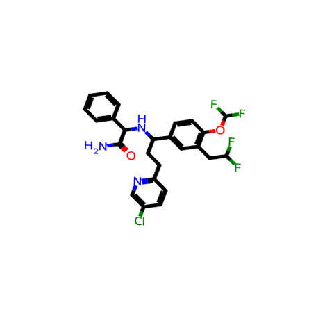 NC(=O)C(NC(CCc1ccc(Cl)cn1)c1ccc(OC(F)F)c(CC(F)F)c1)c1ccccc1